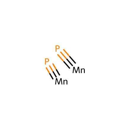 [P]#[Mn].[P]#[Mn]